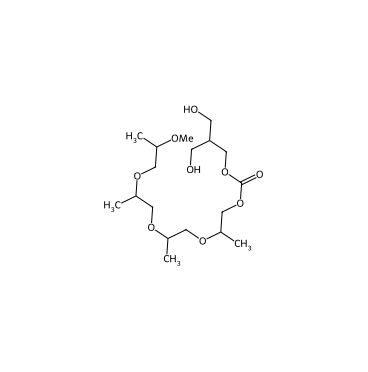 COC(C)COC(C)COC(C)COC(C)COC(=O)OCC(CO)CO